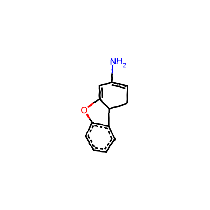 NC1=CCC2C(=C1)Oc1ccccc12